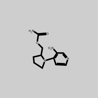 NC(=O)OCC1CCCN1c1ccncc1[N+](=O)[O-]